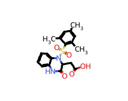 Cc1cc(C)c(S(=O)(=O)N2c3ccccc3NC(=O)C2CC(=O)O)c(C)c1